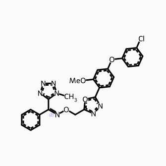 COc1cc(Oc2cccc(Cl)c2)ccc1-c1nnc(CO/N=C(/c2ccccc2)c2nnnn2C)o1